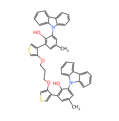 Cc1cc(-c2cscc2OCCCOc2cscc2-c2cc(C)cc(-n3c4ccccc4c4ccccc43)c2O)c(O)c(-n2c3ccccc3c3ccccc32)c1